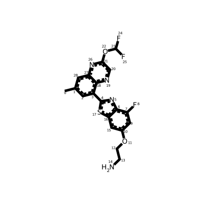 Cc1cc(-c2nc3c(F)cc(OCCN)cc3s2)c2ncc(OC(F)F)nc2c1